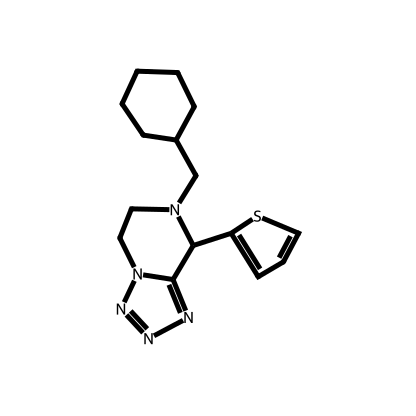 c1csc(C2c3nnnn3CCN2CC2CCCCC2)c1